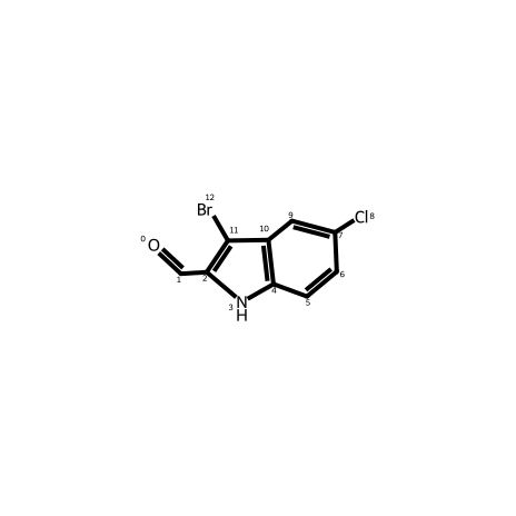 O=Cc1[nH]c2ccc(Cl)cc2c1Br